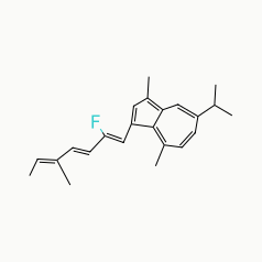 C/C=C(C)/C=C/C(F)=C/c1cc(C)c2cc(C(C)C)ccc(C)c1-2